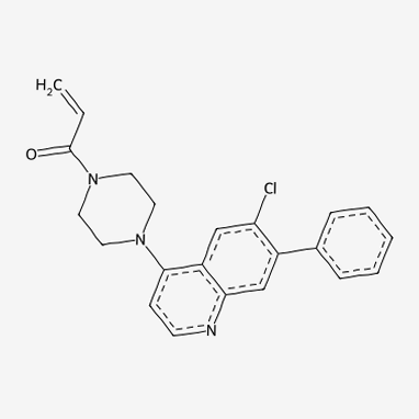 C=CC(=O)N1CCN(c2ccnc3cc(-c4ccccc4)c(Cl)cc23)CC1